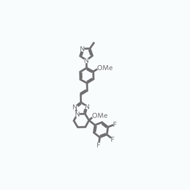 COc1cc(C=Cc2nc3n(n2)CCCC3(OC)c2cc(F)c(F)c(F)c2)ccc1-n1cnc(C)c1